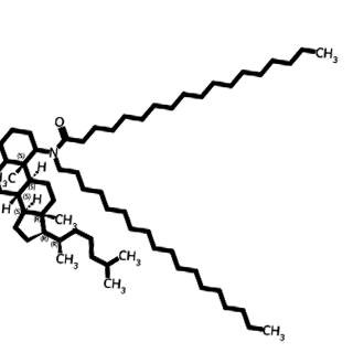 CCCCCCCCCCCCCCCCCCN(C(=O)CCCCCCCCCCCCCCCCC)C1CCCC2CC[C@@H]3[C@H](CC[C@]4(C)[C@@H]([C@H](C)CCCC(C)C)CC[C@@H]34)[C@]21C